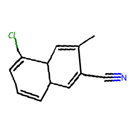 CC1=CC2C(Cl)=CC=CC2C=C1C#N